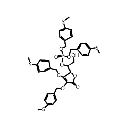 CSc1ccc(COC2=C(OCc3ccc(SC)cc3)[C@@H]([C@H](CO)OP(=O)(OCc3ccc(SC)cc3)OCc3ccc(SC)cc3)OC2=O)cc1